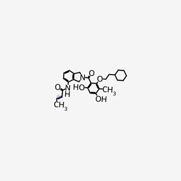 C/C=C/C(=O)Nc1cccc2c1CN(C(=O)c1c(O)cc(O)c(C)c1OCCC1CCCCC1)C2